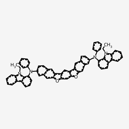 CCn1c2ccccc2c2cccc(N(c3ccccc3)c3ccc4cc5c(cc4c3)oc3cc4oc6cc7cc(N(c8ccccc8)c8cccc9c%10ccccc%10n(CC)c89)ccc7cc6c4cc35)c21